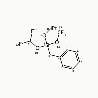 CC(C)O[Si](Cc1ccccc1)(OC(F)F)OC(F)(F)F